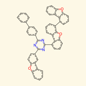 c1ccc(-c2ccc(-c3nc(-c4ccc5oc6ccccc6c5c4)nc(-c4cccc5oc6c(-c7cccc8oc9ccccc9c78)cccc6c45)n3)cc2)cc1